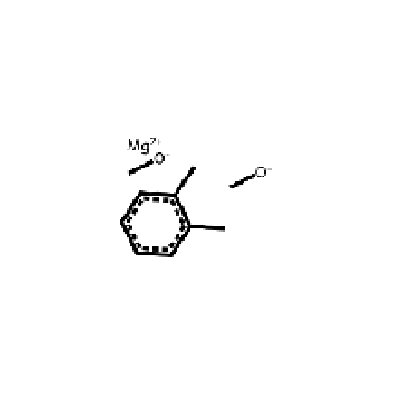 C[O-].C[O-].Cc1ccccc1C.[Mg+2]